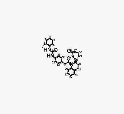 Cc1ccccc1NC(=O)Nc1ccc(CC(=O)N2c3ccccc3CC[C@@H]2[C@H]2CCOC(=O)C2)cc1